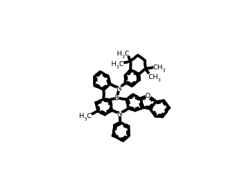 Cc1cc2c3c(c1)N(c1ccccc1)c1cc4c(cc1B3N(c1ccc3c(c1)C(C)(C)CCC3(C)C)c1ccccc1-2)oc1ccccc14